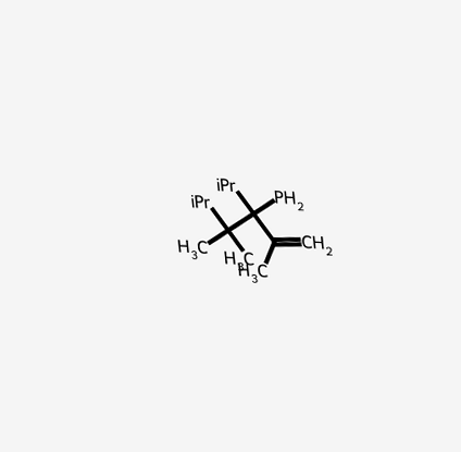 C=C(C)C(P)(C(C)C)C(C)(C)C(C)C